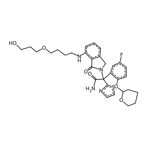 NC(=O)C(c1nccs1)(c1cc(F)ccc1OC1CCCCO1)N1Cc2cccc(NCCCCOCCCO)c2C1=O